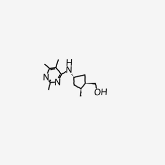 Cc1nc(C)c(C)c(N[C@@H]2C[C@@H](CO)[C@@H](C)C2)n1